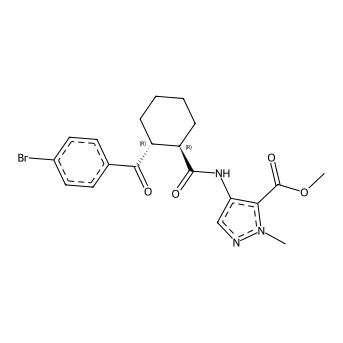 COC(=O)c1c(NC(=O)[C@@H]2CCCC[C@H]2C(=O)c2ccc(Br)cc2)cnn1C